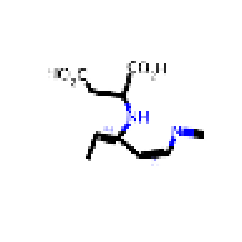 C=N/C=C\C(=C/C)NC(CC(=O)O)C(=O)O